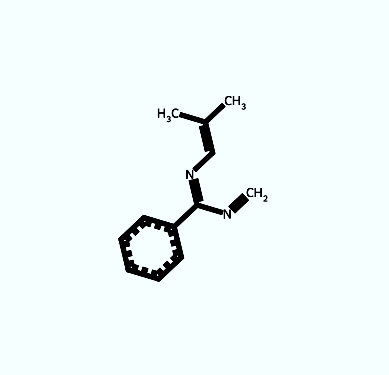 C=N/C(=N\C=C(C)C)c1ccccc1